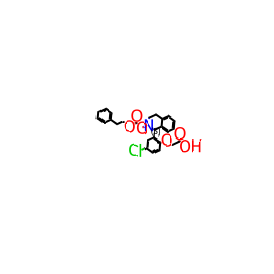 O=C(O)COc1ccc(Cl)cc1[C@@H]1c2ccccc2CCN1OC(=O)OCCc1ccccc1